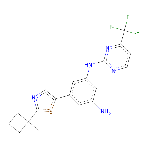 CC1(c2ncc(-c3cc(N)cc(Nc4nccc(C(F)(F)F)n4)c3)s2)CCC1